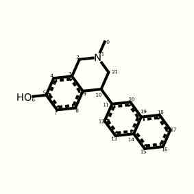 CN1Cc2cc(O)ccc2C(c2ccc3ccccc3c2)C1